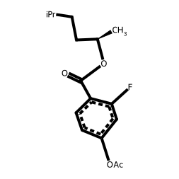 CC(=O)Oc1ccc(C(=O)O[C@H](C)CCC(C)C)c(F)c1